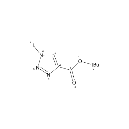 CC(C)(C)OC(=O)c1cn(I)nn1